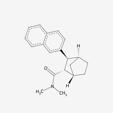 CN(C)C(=O)[C@H]1[C@H]2CC[C@@H](C2)[C@@H]1c1ccc2ccccc2c1